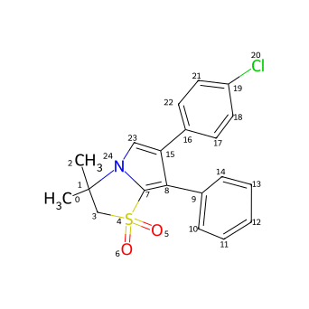 CC1(C)CS(=O)(=O)c2c(-c3ccccc3)c(-c3ccc(Cl)cc3)cn21